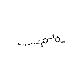 CCCCCOCCCCCNNC(=O)c1ccc(CNC(=O)c2ccc(O)cc2)cc1